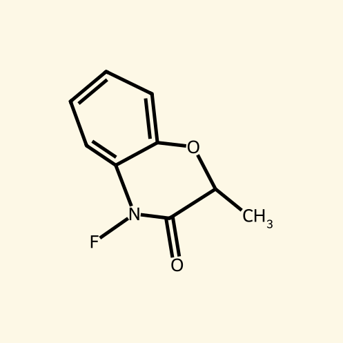 CC1Oc2ccccc2N(F)C1=O